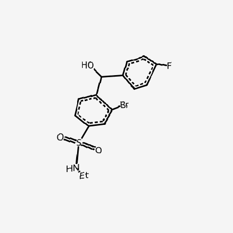 CCNS(=O)(=O)c1ccc(C(O)c2ccc(F)cc2)c(Br)c1